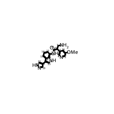 COc1cncc(C(CN)C(=O)Nc2cccc3c(-c4cn[nH]c4)c[nH]c23)c1